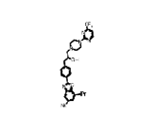 CC(C)c1cc(C#N)cc2nc(-c3ccc(CC(O)CN4CCN(c5nccc(C(F)(F)F)n5)CC4)cc3)oc12